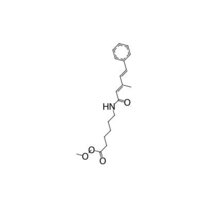 COOC(=O)CCCCCNC(=O)/C=C(C)/C=C/c1ccccc1